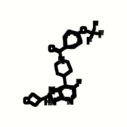 O=C(c1ccc(OC(F)(F)F)cc1)N1CCC(c2c(F)cnc3[nH]c(C4COC4)nc23)CC1